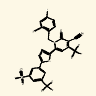 CS(=O)(=O)c1cc(-c2ccc(-c3cc(C(F)(F)F)c(C#N)c(=O)n3Cc3ccc(F)cc3F)o2)cc(C(F)(F)F)c1